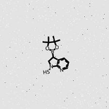 CC1(C)OB(C2CN(S)c3ncccc32)OC1(C)C